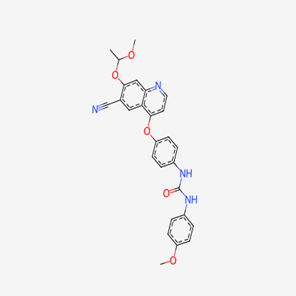 COc1ccc(NC(=O)Nc2ccc(Oc3ccnc4cc(OC(C)OC)c(C#N)cc34)cc2)cc1